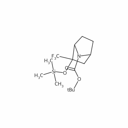 CC(C)(C)OC(=O)N1C2CCC1C(O[Si](C)(C)C)(C(F)(F)F)C2